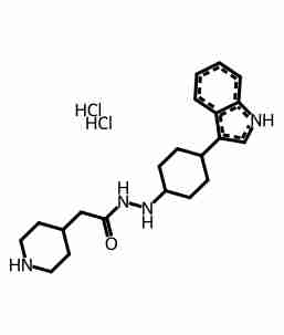 Cl.Cl.O=C(CC1CCNCC1)NNC1CCC(c2c[nH]c3ccccc23)CC1